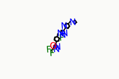 Fc1cc(-c2nnc(C(F)F)o2)ccc1Cn1cc(-c2ccc(CN3CCC3)cn2)nn1